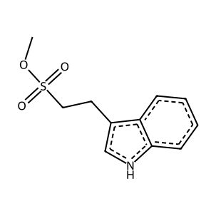 COS(=O)(=O)CCc1c[nH]c2ccccc12